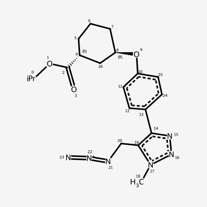 CC(C)OC(=O)[C@@H]1CCC[C@@H](Oc2ccc(-c3nnn(C)c3CN=[N+]=[N-])cc2)C1